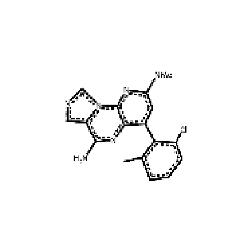 CNc1cc(-c2c(C)cccc2Cl)c2nc(N)c3cncn3c2n1